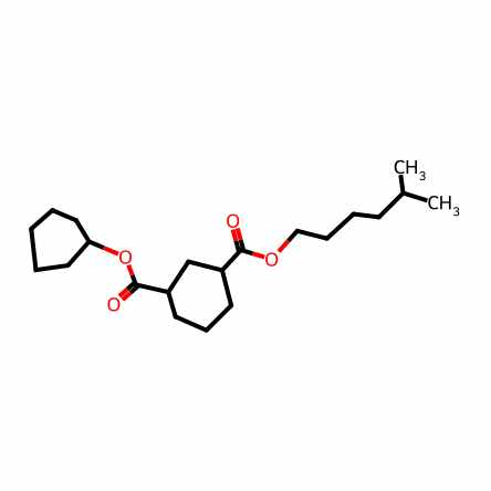 CC(C)CCCCOC(=O)C1CCCC(C(=O)OC2CCCCC2)C1